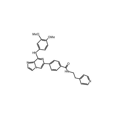 COc1ccc(Nc2nc(-c3ccc(C(=O)NCCc4ccncc4)cc3)cn3ccnc23)cc1OC